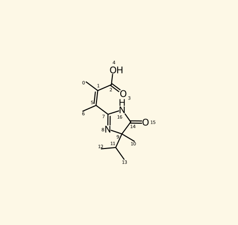 C/C(C(=O)O)=C(\C)C1=NC(C)(C(C)C)C(=O)N1